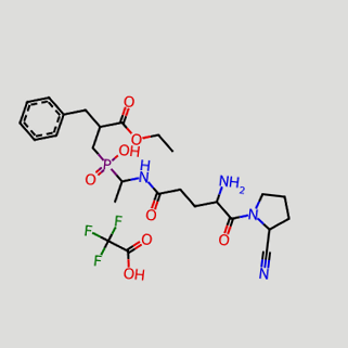 CCOC(=O)C(Cc1ccccc1)CP(=O)(O)C(C)NC(=O)CCC(N)C(=O)N1CCCC1C#N.O=C(O)C(F)(F)F